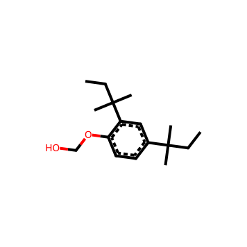 CCC(C)(C)c1ccc(OCO)c(C(C)(C)CC)c1